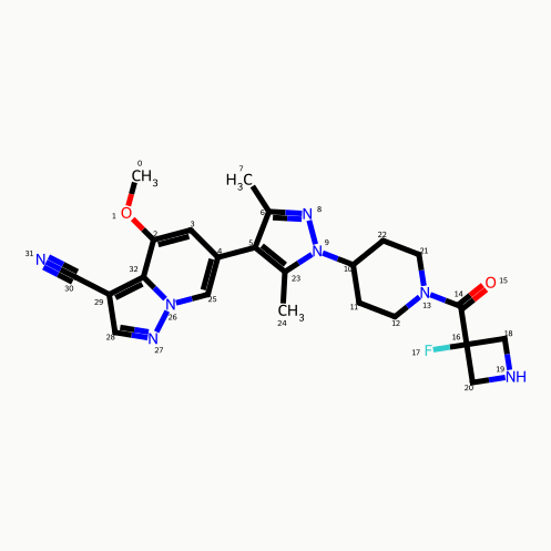 COc1cc(-c2c(C)nn(C3CCN(C(=O)C4(F)CNC4)CC3)c2C)cn2ncc(C#N)c12